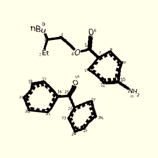 CCCCC(CC)COC(=O)c1ccc(N)cc1.O=C(c1ccccc1)c1ccccc1